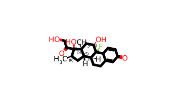 C[C@@H]1C[C@H]2[C@@H]3CCC4=CC(=O)C=CC4[C@@]3(F)[C@@H](O)C[C@]2(C)[C@@]1(O)C(=O)CO